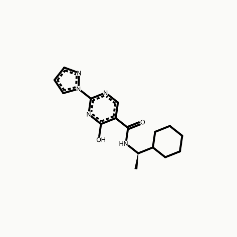 C[C@@H](NC(=O)c1cnc(-n2cccn2)nc1O)C1CCCCC1